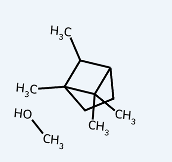 CC1C2CCC1(C)C2(C)C.CO